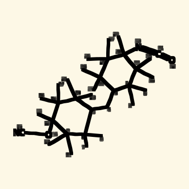 CC1(C)C(CC2C(C)(C)C(C)(C)C(C)(OC#N)C(C)(C)C2(C)C)C(C)(C)C(C)(C)C(C)(N=C=O)C1(C)C